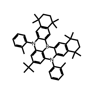 Cc1ccccc1N1c2cc3c(cc2B2c4cc5c(cc4N(c4ccccc4C)c4cc(C(C)(C)C)cc1c42)C(C)(C)CCC5(C)C)C(C)(C)CCC3(C)C